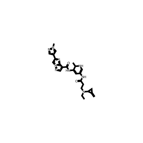 C=C1CC1N(CC)CCC(=O)NC1=CNC(C)C(NC(=O)c2cnn3cc(-c4cnn(C)c4)sc23)=C1